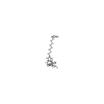 CCCCCCCCCCCCCCCCCCSC[C@H](CO)NS(C)(=O)=O